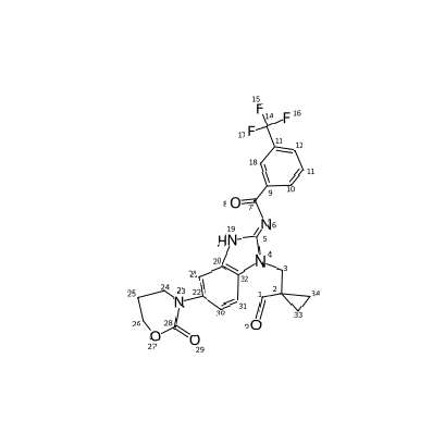 O=CC1(Cn2/c(=N/C(=O)c3cccc(C(F)(F)F)c3)[nH]c3cc(N4CCCOC4=O)ccc32)CC1